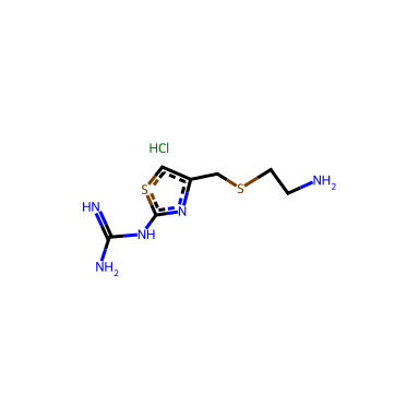 Cl.N=C(N)Nc1nc(CSCCN)cs1